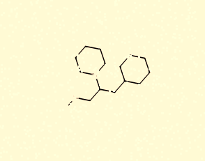 CNCC(CC1CCCCC1)N1CCCCC1